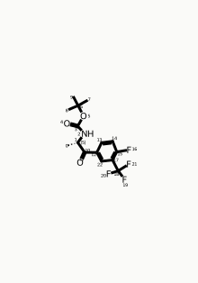 C[C@H](NC(=O)OC(C)(C)C)C(=O)c1ccc(F)c(C(F)(F)F)c1